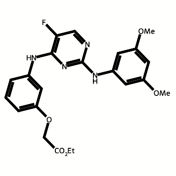 CCOC(=O)COc1cccc(Nc2nc(Nc3cc(OC)cc(OC)c3)ncc2F)c1